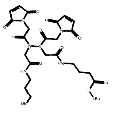 CC(C)(C)CCCNC(=O)CN(C(=O)CN1C(=O)C=CC1=O)N(CC(=O)NCCCC(=O)OC(C)(C)C)C(=O)CN1C(=O)C=CC1=O